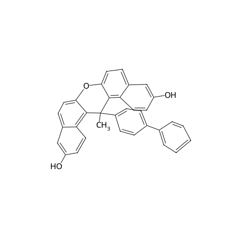 CC1(c2ccc(-c3ccccc3)cc2)c2c(ccc3cc(O)ccc23)Oc2ccc3cc(O)ccc3c21